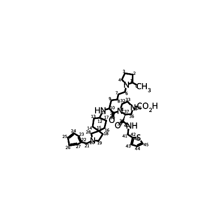 CC1CCCN1CCCCC(NC1CCC2(CC1)CCN(Cc1ccccc1)C2)C(=O)N1CCN(C(=O)O)C[C@H]1C(=O)NCc1cccs1